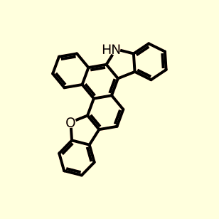 c1ccc2c(c1)[nH]c1c3ccccc3c3c(ccc4c5ccccc5oc43)c21